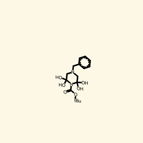 CC(C)(C)OC(=O)N1C(O)(O)CN(Cc2ccccc2)CC1(O)O